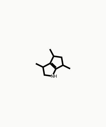 CC1CC(C)C2=C1NCC2C